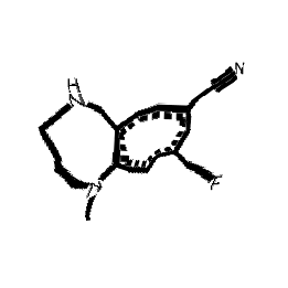 CN1CCNc2cc(C#N)c(F)cc21